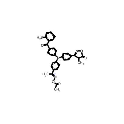 Bc1ccccc1C(=O)c1ccc(N(c2ccc(C3=NOC(=O)C3C)cc2)c2ccc(/C(C)=N/OC(C)=O)cc2)cc1